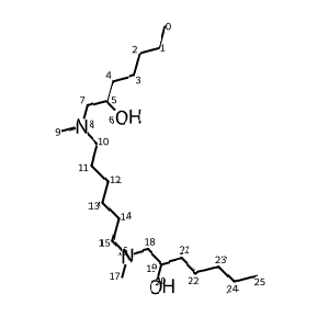 CCCCCC(O)CN(C)CCCCCCN(C)CC(O)CCCCC